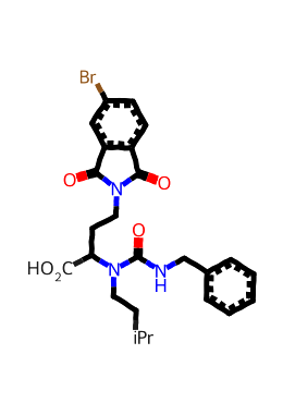 CC(C)CCN(C(=O)NCc1ccccc1)C(CCN1C(=O)c2ccc(Br)cc2C1=O)C(=O)O